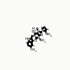 Cc1ccc2[nH]c(Cn3c(=O)c4c(nc(-n5nccc5N)n4C)n(C)c3=O)cc2c1